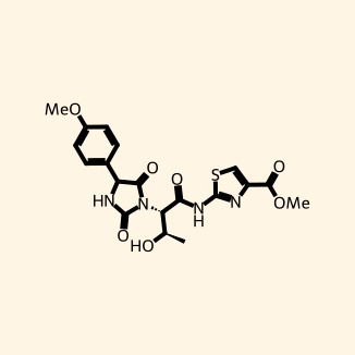 COC(=O)c1csc(NC(=O)[C@H]([C@@H](C)O)N2C(=O)NC(c3ccc(OC)cc3)C2=O)n1